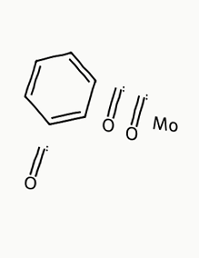 [C]=O.[C]=O.[C]=O.[Mo].c1ccccc1